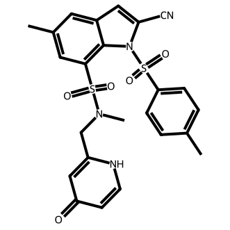 Cc1ccc(S(=O)(=O)n2c(C#N)cc3cc(C)cc(S(=O)(=O)N(C)Cc4cc(=O)cc[nH]4)c32)cc1